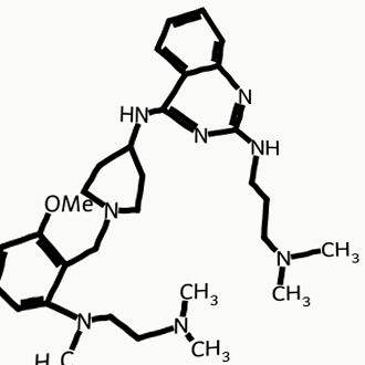 COc1cccc(N(C)CCN(C)C)c1CN1CCC(Nc2nc(NCCCN(C)C)nc3ccccc23)CC1